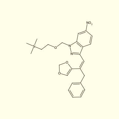 C[Si](C)(C)CCOCn1nc(C=C(Cc2ccccc2)C2=COCO2)c2ccc([N+](=O)[O-])cc21